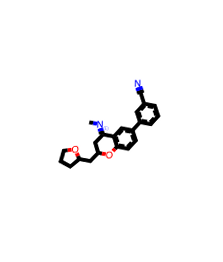 C/N=C1\CC(CC2CCCO2)Oc2ccc(-c3cccc(C#N)c3)cc21